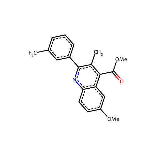 COC(=O)c1c(C)c(-c2cccc(C(F)(F)F)c2)nc2ccc(OC)cc12